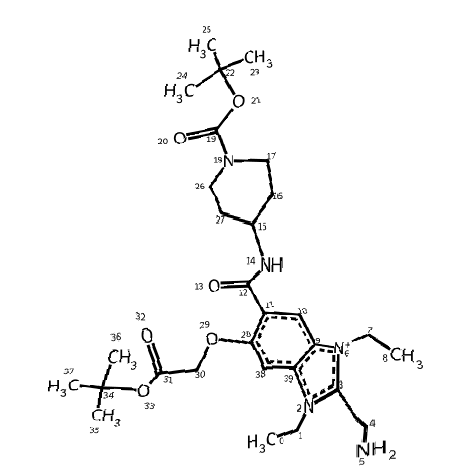 CCn1c(CN)[n+](CC)c2cc(C(=O)NC3CCN(C(=O)OC(C)(C)C)CC3)c(OCC(=O)OC(C)(C)C)cc21